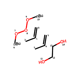 C=CC.C=CC.CCCCOOOCCCC.OCCO